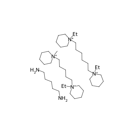 CC[N+]1(CCCCCC[N+]2(CC)CCCCC2)CCCCC1.CC[N+]1(CCCCC[N+]2(C)CCCCC2)CCCCC1.NCCCCCN